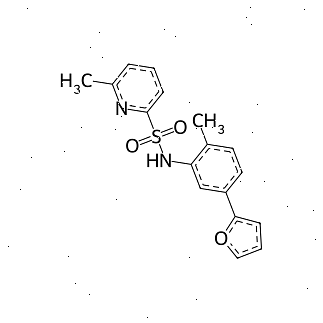 Cc1cccc(S(=O)(=O)Nc2cc(-c3ccco3)ccc2C)n1